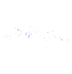 COc1cncc(-c2cn(-c3cc(C(=O)Nc4cc(C(F)(F)F)cc(CN5CC6CC5CN6C)c4OC)ccc3Cl)nn2)c1